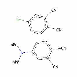 CCCN(CCC)c1ccc(C#N)c(C#N)c1.N#Cc1ccc(F)cc1C#N